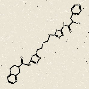 CCCC(Cc1ccccc1)C(=O)Nc1nnc(CCSCCc2nnc(NC(=O)C3CCc4ccccc4C3)s2)s1